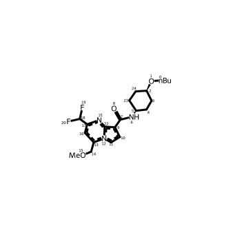 CCCCO[C@H]1CC[C@H](NC(=O)c2ccn3c(COC)cc(C(F)F)nc23)CC1